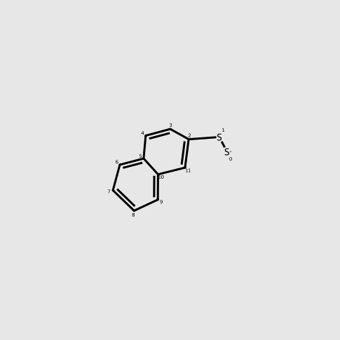 [S]Sc1ccc2ccccc2c1